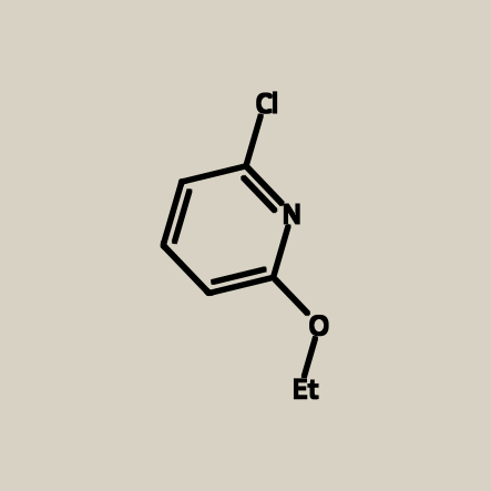 CCOc1cccc(Cl)n1